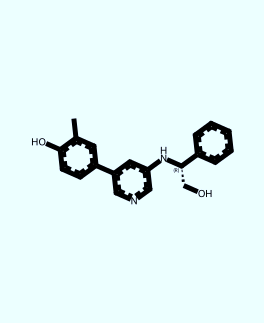 Cc1cc(-c2cncc(N[C@@H](CO)c3ccccc3)c2)ccc1O